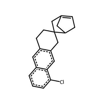 Clc1cccc2cc3c(cc12)CC1(CC3)CC2=CCC1C2